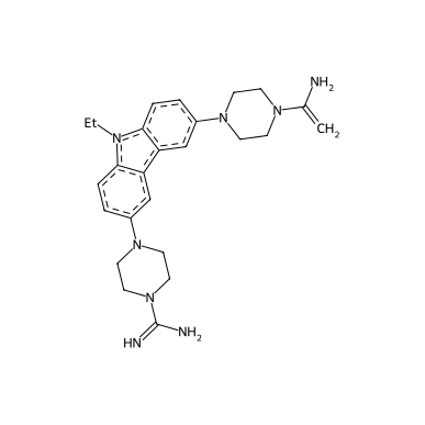 C=C(N)N1CCN(c2ccc3c(c2)c2cc(N4CCN(C(=N)N)CC4)ccc2n3CC)CC1